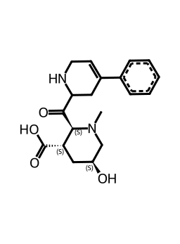 CN1C[C@@H](O)C[C@H](C(=O)O)[C@H]1C(=O)C1CC(c2ccccc2)=CCN1